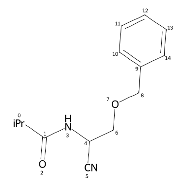 CC(C)C(=O)NC(C#N)COCc1ccccc1